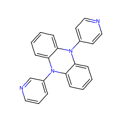 c1cncc(N2c3ccccc3N(c3ccncc3)c3ccccc32)c1